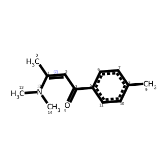 C/C(=C/C(=O)c1ccc(C)cc1)N(C)C